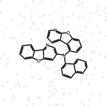 c1ccc2c(N(c3cnc4c(c3)oc3ccccc34)c3cccc4oc5ncccc5c34)cccc2c1